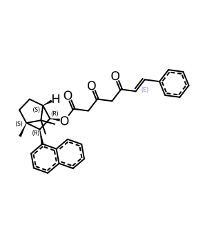 CC1(C)[C@@H]2CC[C@@]1(C)[C@H](c1cccc3ccccc13)[C@@H]2OC(=O)CC(=O)CC(=O)/C=C/c1ccccc1